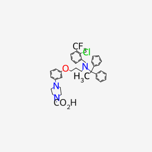 CC(c1ccccc1)(c1ccccc1)N(CCCOc1cccc(N2CCN(C(=O)O)CC2)c1)Cc1cccc(C(F)(F)F)c1Cl